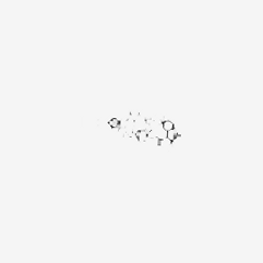 COc1ccc2ncc(Cl)c(C(F)CCC3(CC(=O)O)CCN(CCSc4cccc(C(F)(F)F)c4)CC3)c2c1